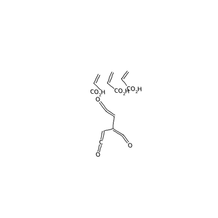 C=CC(=O)O.C=CC(=O)O.C=CC(=O)O.O=C=CC(=C=O)C=C=O